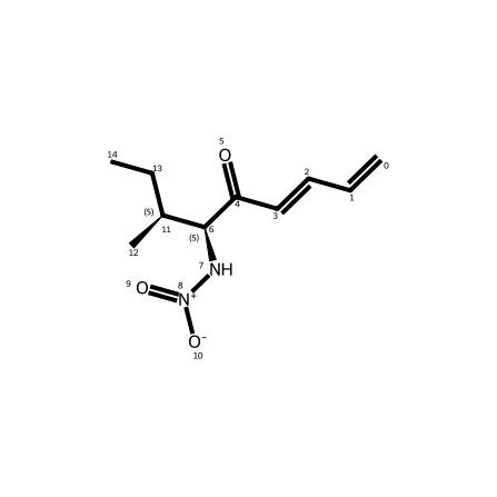 C=CC=CC(=O)[C@@H](N[N+](=O)[O-])[C@@H](C)CC